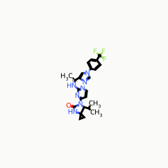 CC(C)C1N(c2ccnc(N[C@@H](C)c3cn(-c4ccc(C(F)(F)F)cc4)cn3)n2)C(=O)NC12CC2